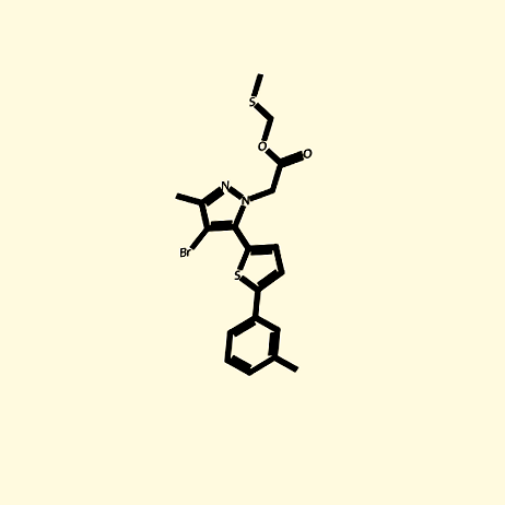 CSCOC(=O)Cn1nc(C)c(Br)c1-c1ccc(-c2cccc(C)c2)s1